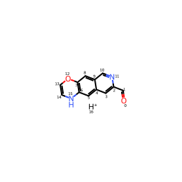 O=Cc1cc2cc3c(cc2cn1)OC=CN3.[H+]